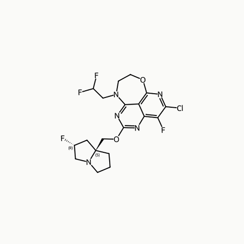 Fc1c(Cl)nc2c3c(nc(OC[C@@]45CCCN4C[C@H](F)C5)nc13)N(CC(F)F)CCO2